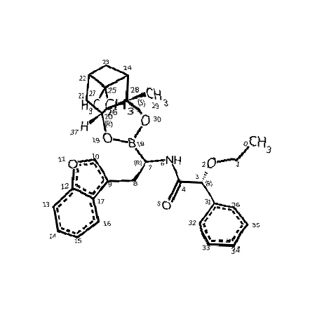 CCO[C@@H](C(=O)N[C@@H](Cc1coc2ccccc12)B1O[C@@H]2CC3CC(C3(C)C)[C@]2(C)O1)c1ccccc1